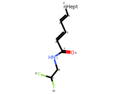 CCCCCCC/C=C/C=C/C(=O)NCC(F)F